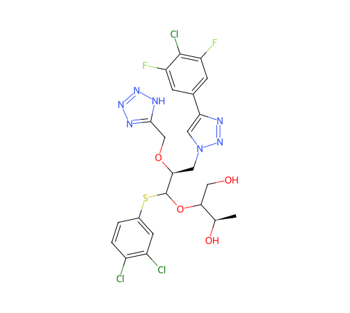 C[C@@H](O)C(CO)OC(Sc1ccc(Cl)c(Cl)c1)[C@H](Cn1cc(-c2cc(F)c(Cl)c(F)c2)nn1)OCc1nnn[nH]1